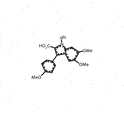 CCCn1c(C(=O)O)c(-c2ccc(OC)cc2)c2cc(OC)c(OC)cc21